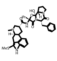 CSc1[nH]c2cccc3c2c1C[C@@H]1C3C[C@@H](C(=O)N[C@]2(C(C)C)O[C@@]3(O)[C@@H]4CCCN4C(=O)[C@H](Cc4ccccc4)N3C2=O)CN1C